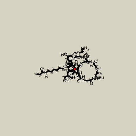 CC[C@H](C)[C@@H]1NC(=O)CNC(=O)[C@H]2Cc3c([nH]c4cc(OCCCCCCNC(=O)CI)ccc34)SC[C@H](NC(=O)CNC1=O)C(=O)N[C@@H](CC(N)=O)C(=O)N1C[C@H](O)C[C@H]1C(=O)N[C@@H]([C@@H](C)[C@@H](O)CO)C(=O)N2